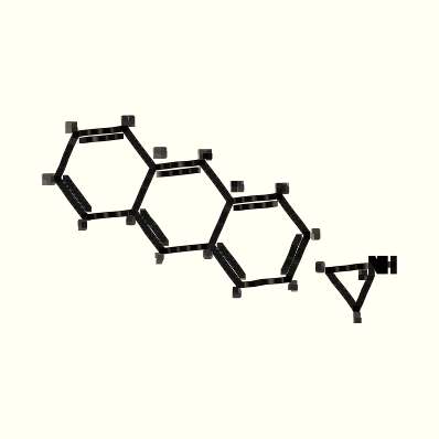 C1CN1.c1ccc2cc3ccccc3cc2c1